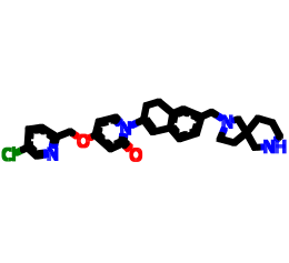 O=c1cc(OCc2ccc(Cl)cn2)ccn1C1=Cc2ccc(CN3CCC4(CCCNC4)C3)cc2CC1